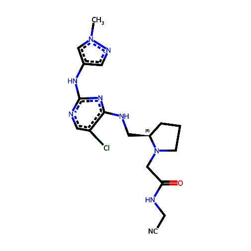 Cn1cc(Nc2ncc(Cl)c(NC[C@H]3CCCN3CC(=O)NCC#N)n2)cn1